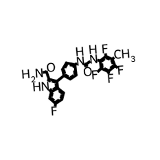 Cc1c(F)c(F)c(F)c(NC(=O)Nc2ccc(-c3c(C(N)=O)[nH]c4cc(F)ccc34)cc2)c1F